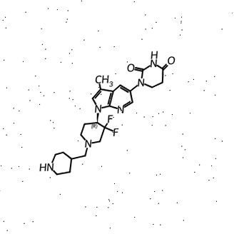 Cc1cn([C@@H]2CCN(CC3CCNCC3)CC2(F)F)c2ncc(N3CCC(=O)NC3=O)cc12